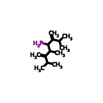 C=C(C(C)C)C(C)C(P)C(=C)C(C)C